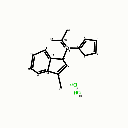 CC1=C[CH]([Zr]([C]2=CC=CC2)=[C](C)C)c2ccccc21.Cl.Cl